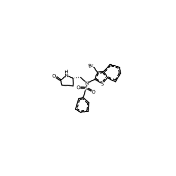 O=C1CC[C@@H](CN(c2sc3ccccc3c2Br)S(=O)(=O)c2ccccc2)N1